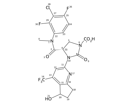 CN(C(=O)[C@@H]1CN(C(=O)O)C(=O)N1c1cc(C(F)(F)F)c2c(n1)CCC2O)c1ccc(F)c(Cl)c1F